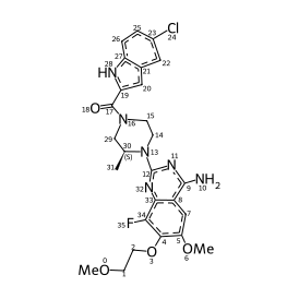 COCCOc1c(OC)cc2c(N)nc(N3CCN(C(=O)c4cc5cc(Cl)ccc5[nH]4)C[C@@H]3C)nc2c1F